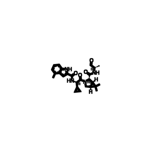 Cc1cccc2[nH]c(C(=O)N[C@H](C(=O)N3C[C@H]4[C@@H]([C@H]3C(=O)N[C@@H](C)C=O)C4(C)C)C3CC3)cc12